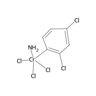 [NH2][Cr]([Cl])([Cl])([Cl])[c]1ccc(Cl)cc1Cl